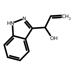 C=CC(O)c1n[nH]c2ccccc12